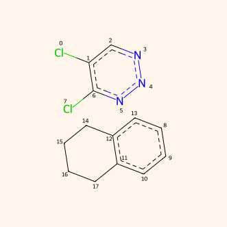 Clc1cnnnc1Cl.c1ccc2c(c1)CCCC2